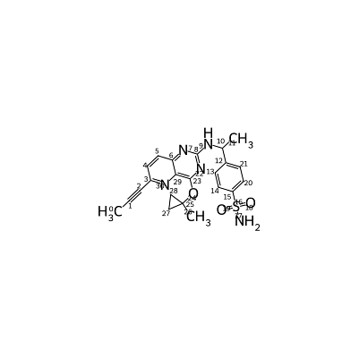 CC#Cc1ccc2nc(NC(C)c3ccc(S(N)(=O)=O)cc3)nc(OC3(C)CC3)c2n1